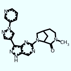 CN1CCC2CC(C1=O)N(c1ncc3[nH]nc(-c4cnn(-c5cccnc5)c4)c3n1)C2